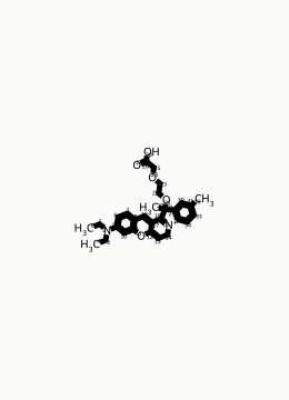 CCN(CC)c1ccc2c(c1)OC1=CC[N+]3=C(C1=C2)C(C)(OCCOCC(=O)O)c1cc(C)ccc13